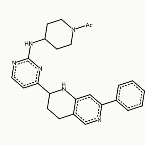 CC(=O)N1CCC(Nc2nccc(C3CCc4cnc(-c5ccccc5)cc4N3)n2)CC1